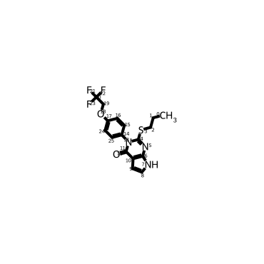 CCCSc1nc2[nH]ccc2c(=O)n1-c1ccc(OCC(F)(F)F)cc1